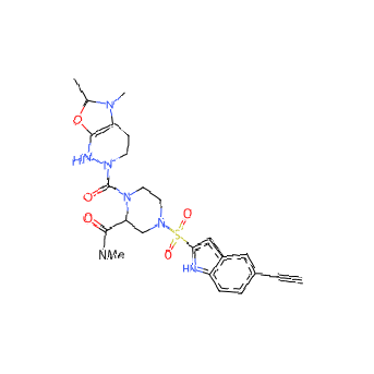 C#Cc1ccc2[nH]c(S(=O)(=O)N3CCN(C(=O)N4CCC5=C(N4)OC(C)N5C)C(C(=O)NC)C3)cc2c1